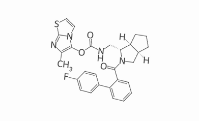 Cc1nc2sccn2c1OC(=O)NC[C@@H]1[C@H]2CCC[C@H]2CN1C(=O)c1ccccc1-c1ccc(F)cc1